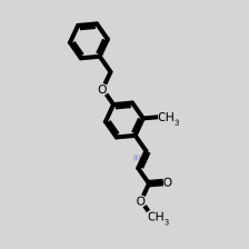 COC(=O)/C=C/c1ccc(OCc2ccccc2)cc1C